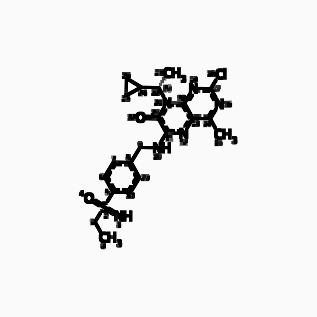 CCS(=N)(=O)c1ccc(CNc2nc3c(C)nc(Cl)nc3n([C@@H](C)C3CC3)c2=O)cc1